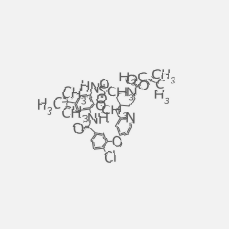 COc1c(NC(=O)c2ccc(Cl)c(Oc3ccnc(CC4CCN(C(=O)OC(C)(C)C)CC4)c3)c2)cc(C(C)(C)C)cc1NS(C)(=O)=O